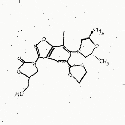 C[C@@H]1CN(c2c(C3OCCO3)cc3c(N4CC(CO)OC4=O)noc3c2F)C[C@@H](C)O1